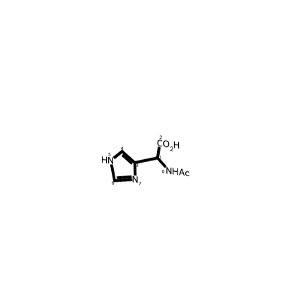 CC(=O)NC(C(=O)O)c1c[nH]cn1